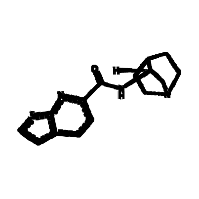 O=C(N[C@@H]1CN2CCC1CC2)c1ccc2ccsc2n1